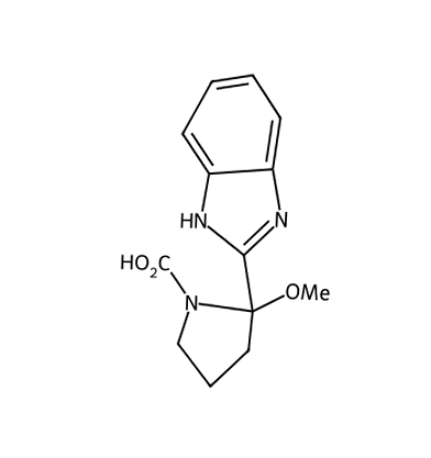 COC1(c2nc3ccccc3[nH]2)CCCN1C(=O)O